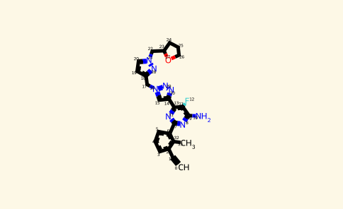 C#Cc1cccc(-c2nc(N)c(F)c(-c3cn(Cc4ccn(CC5CCCO5)n4)nn3)n2)c1C